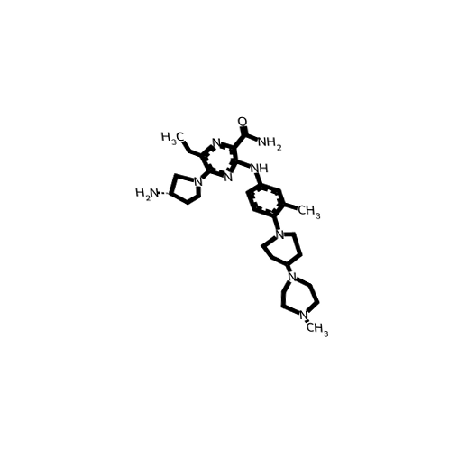 CCc1nc(C(N)=O)c(Nc2ccc(N3CCC(N4CCN(C)CC4)CC3)c(C)c2)nc1N1CC[C@H](N)C1